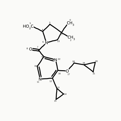 CC1(C)CC(C(=O)O)N(C(=O)c2cnc(C3CC3)c(OCC3CC3)n2)C1